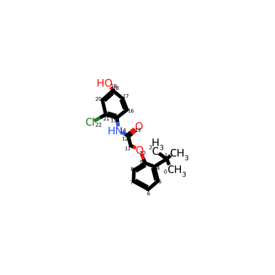 CC(C)(C)c1ccccc1OCC(=O)Nc1ccc(O)cc1Cl